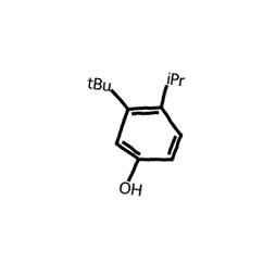 CC(C)c1ccc(O)cc1C(C)(C)C